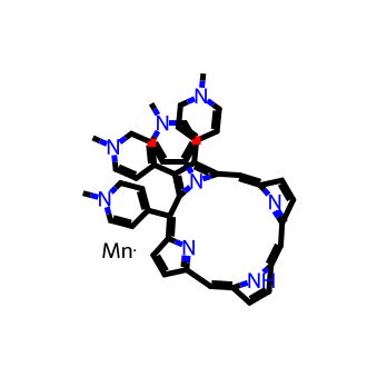 CN1C=CC(c2c(C3=CCN(C)C=C3)c3c(C4=CCN(C)C=C4)c4nc(cc5ccc(cc6nc(cc2n3C2=CCN(C)C=C2)C=C6)[nH]5)C=C4)=CC1.[Mn]